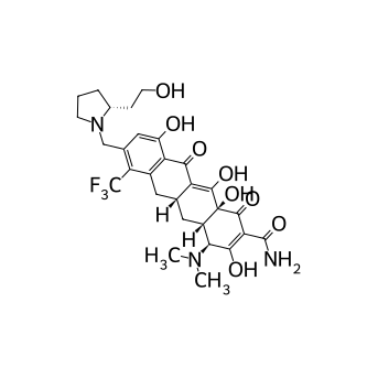 CN(C)[C@@H]1C(O)=C(C(N)=O)C(=O)[C@@]2(O)C(O)=C3C(=O)c4c(O)cc(CN5CCC[C@@H]5CCO)c(C(F)(F)F)c4C[C@H]3C[C@@H]12